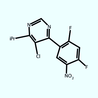 CC(C)c1ncnc(-c2cc([N+](=O)[O-])c(F)cc2F)c1Cl